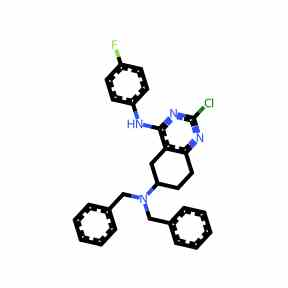 Fc1ccc(Nc2nc(Cl)nc3c2CC(N(Cc2ccccc2)Cc2ccccc2)CC3)cc1